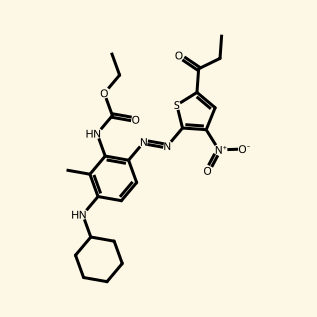 CCOC(=O)Nc1c(N=Nc2sc(C(=O)CC)cc2[N+](=O)[O-])ccc(NC2CCCCC2)c1C